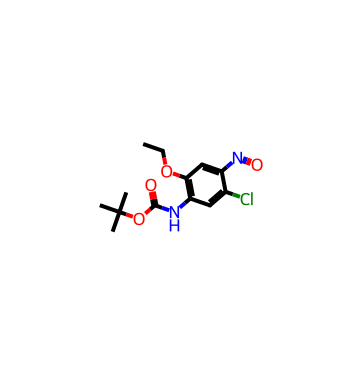 CCOc1cc(N=O)c(Cl)cc1NC(=O)OC(C)(C)C